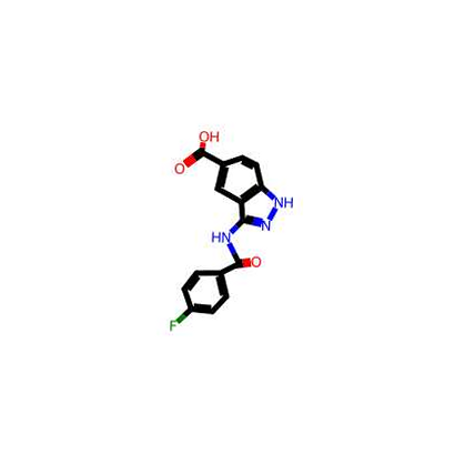 O=C(O)c1ccc2[nH]nc(NC(=O)c3ccc(F)cc3)c2c1